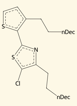 CCCCCCCCCCCCc1ccsc1-c1nc(CCCCCCCCCCCC)c(Cl)s1